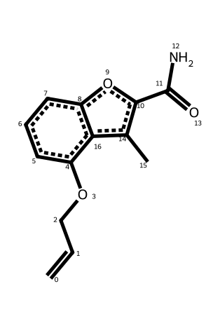 C=CCOc1cccc2oc(C(N)=O)c(C)c12